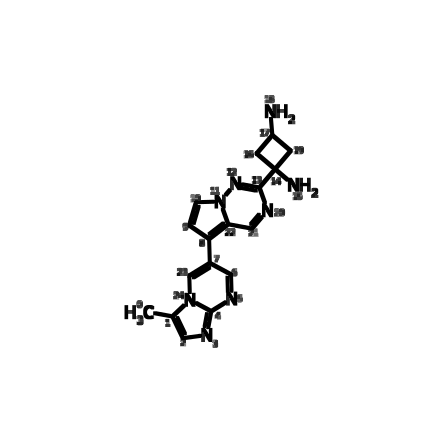 Cc1cnc2ncc(-c3ccn4nc(C5(N)CC(N)C5)ncc34)cn12